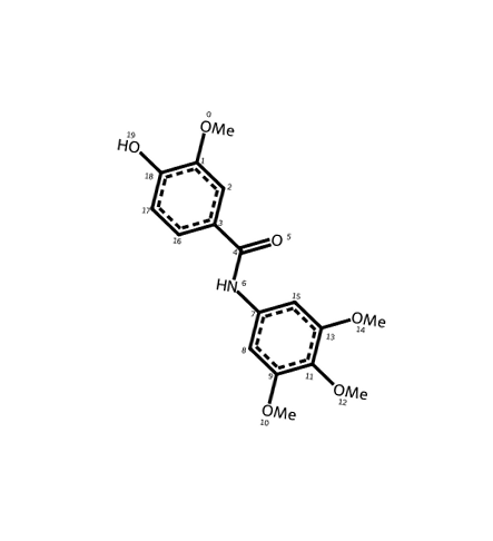 COc1cc(C(=O)Nc2cc(OC)c(OC)c(OC)c2)ccc1O